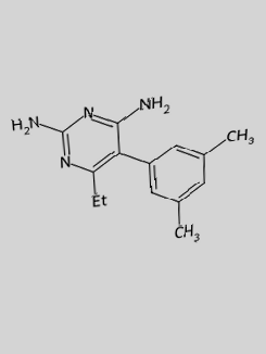 CCc1nc(N)nc(N)c1-c1cc(C)cc(C)c1